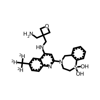 [2H]C([2H])([2H])c1ccc2nc(N3CCS(O)(O)c4ccccc4C3)cc(NCC3(CN)COC3)c2c1